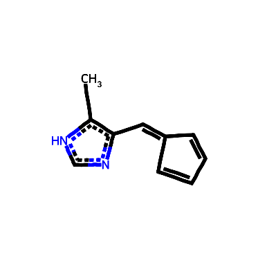 Cc1[nH]cnc1C=C1C=CC=C1